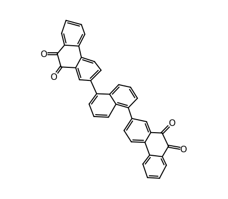 O=C1C(=O)c2cc(-c3cccc4c(-c5ccc6c(c5)C(=O)C(=O)c5ccccc5-6)cccc34)ccc2-c2ccccc21